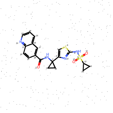 O=C(NC1(c2csc(NS(=O)(=O)C3CC3)n2)CC1)c1ccc2ncccc2c1